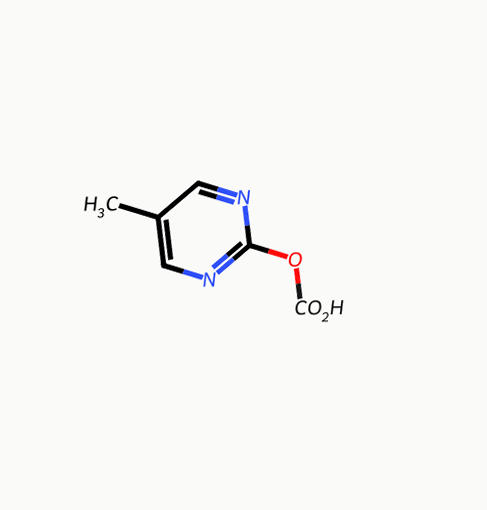 Cc1cnc(OC(=O)O)nc1